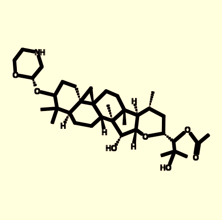 CC(=O)OC([C@H]1C[C@@H](C)[C@H]2[C@H](O1)[C@H](O)[C@@]1(C)[C@@H]3CC[C@H]4C(C)(C)C(O[C@H]5CNCCO5)CC[C@@]45C[C@@]35CC[C@]21C)C(C)(C)O